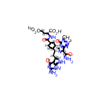 Cn1nnc2c(C(N)=O)ncn2c1=O.Nc1nc(=O)c2c(CCc3ccc(C(=O)N[C@H](CCC(=O)O)C(=O)O)cc3)c[nH]c2[nH]1